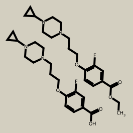 CCOC(=O)c1ccc(OCCCN2CCN(C3CC3)CC2)c(F)c1.O=C(O)c1ccc(OCCCN2CCN(C3CC3)CC2)c(F)c1